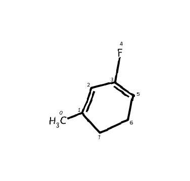 CC1=CC(F)=CCC1